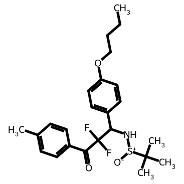 CCCCOc1ccc(C(N[S+]([O-])C(C)(C)C)C(F)(F)C(=O)c2ccc(C)cc2)cc1